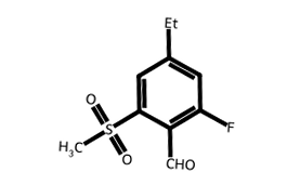 CCc1cc(F)c(C=O)c(S(C)(=O)=O)c1